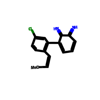 CO/C=C\c1ccc(Cl)cc1C1=CC=CC(=N)C1=N